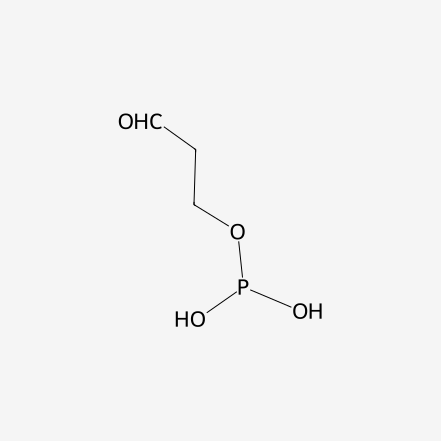 O=CCCOP(O)O